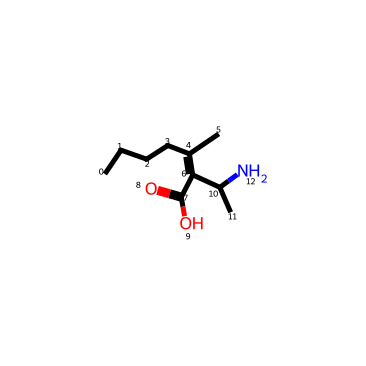 CCCCC(C)=C(C(=O)O)C(C)N